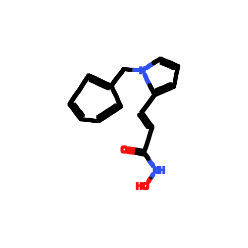 O=C(C=Cc1cccn1Cc1ccccc1)NO